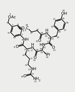 CC(=O)OCc1ccc(NC(=O)[C@H](CCCNC(N)=O)NC(=O)[C@@H](NC(=O)[C@H](Cc2ccc(O)cc2)NC(=O)CCC(=O)O)C(C)C)cc1